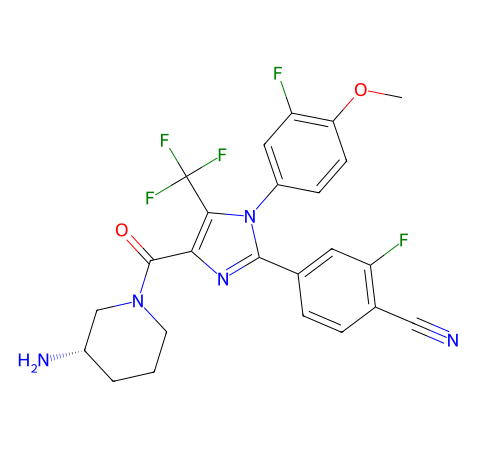 COc1ccc(-n2c(-c3ccc(C#N)c(F)c3)nc(C(=O)N3CCC[C@H](N)C3)c2C(F)(F)F)cc1F